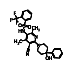 Cc1nc(N2CCC(O)(c3ccccc3)CC2)c(C#N)c(C)c1NS(=O)(=O)c1ccccc1C(F)(F)F